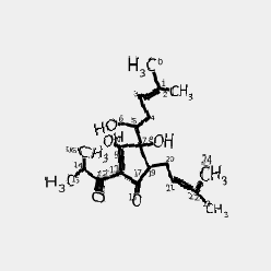 CC(C)=CCC(O)C1(O)C(O)=C(C(=O)C(C)C)C(=O)C1CC=C(C)C